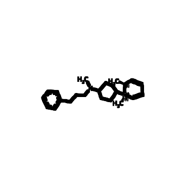 C[C@H]1C=CC=C[N@@+]1(C)C1CCC(N(C)CCCc2ccccc2)CC1